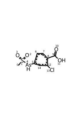 CS(=O)(=O)[AsH]c1ccc(C(=O)O)c(Cl)c1